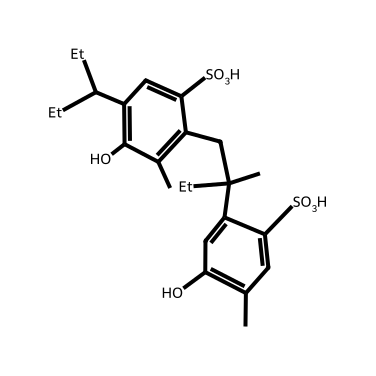 CCC(CC)c1cc(S(=O)(=O)O)c(CC(C)(CC)c2cc(O)c(C)cc2S(=O)(=O)O)c(C)c1O